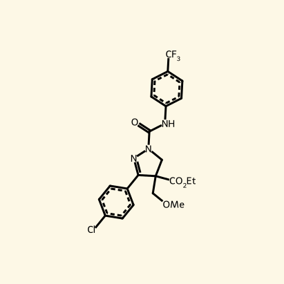 CCOC(=O)C1(COC)CN(C(=O)Nc2ccc(C(F)(F)F)cc2)N=C1c1ccc(Cl)cc1